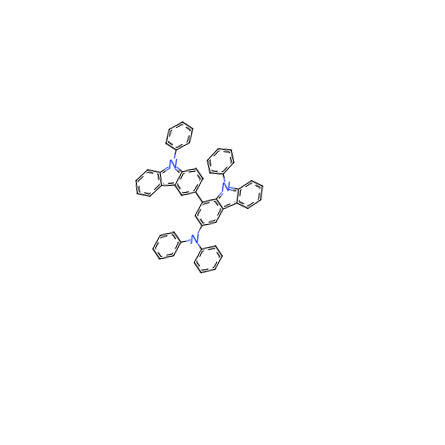 c1ccc(N(c2ccccc2)c2cc(-c3ccc4c(c3)c3ccccc3n4-c3ccccc3)c3c(c2)c2ccccc2n3-c2ccccc2)cc1